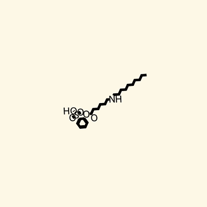 CCCCCCCCCCNCCCCCC(=O)Oc1ccccc1S(=O)(=O)O